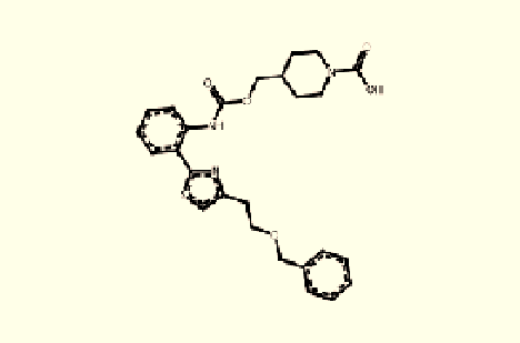 O=C(Nc1ccccc1-c1nc(CCOCc2ccccc2)cs1)OCC1CCN(C(=O)O)CC1